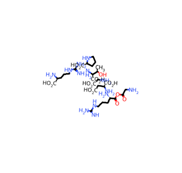 C[C@@H](O)[C@H](N)C(=O)O.N=C(N)NCCC[C@H](N)C(=O)O.N=C(N)NCCC[C@H](N)C(=O)OC(=O)CN.NCC(=O)O.N[C@@H](CC(=O)O)C(=O)O.O=C(O)[C@@H]1CCCN1